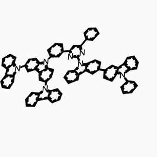 c1ccc(-c2cc(-c3cccc(-n4c5ccc(-n6c7ccccc7c7ccccc76)cc5c5cc(-n6c7ccccc7c7ccccc76)ccc54)c3)nc(-n3c4ccccc4c4cc(-c5ccc6c(c5)c5ccccc5n6-c5ccccc5)ccc43)n2)cc1